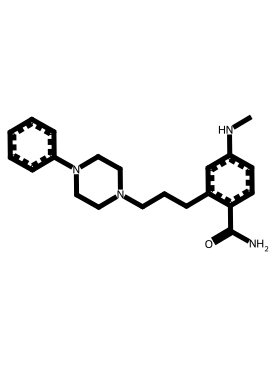 CNc1ccc(C(N)=O)c(CCCN2CCN(c3ccccc3)CC2)c1